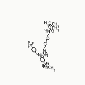 CNS(=O)(=O)c1ccc(NCc2ccc(C(F)(F)F)cc2)c(-c2cn(CCOCCOCCNC(=O)OC(C)(C)C)cn2)c1